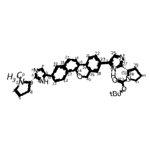 CN1CCC[C@H]1c1ncc(-c2ccc3c4c(ccc3c2)-c2ccc(-c3cnc([C@@H]5CCCN5C(=O)OC(C)(C)C)[nH]3)cc2CO4)[nH]1